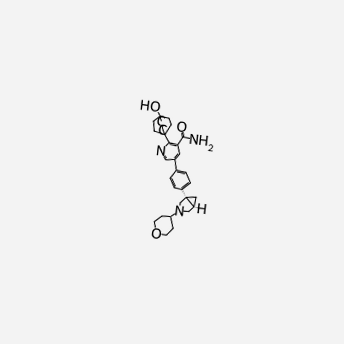 NC(=O)c1cc(-c2ccc([C@]34C[C@H]3CN(C3CCOCC3)C4)cc2)cnc1C12CCC(O)(CC1)CC2